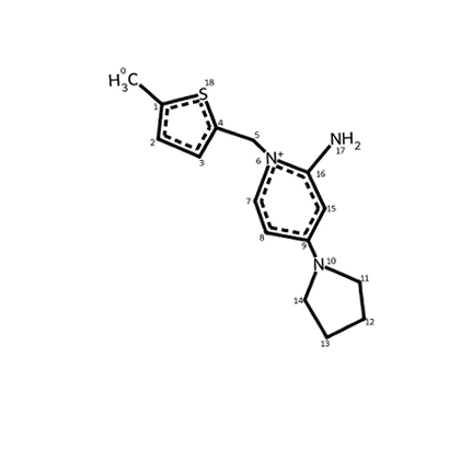 Cc1ccc(C[n+]2ccc(N3CCCC3)cc2N)s1